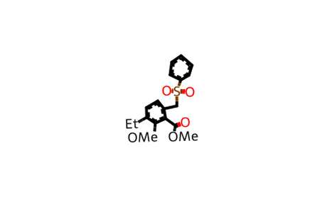 CCc1ccc(CS(=O)(=O)c2ccccc2)c(C(=O)OC)c1OC